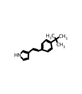 CC(C)(C)c1ccc(/C=C/c2cc[nH]c2)cc1